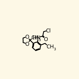 CCc1cccc(C2(C)OCCO2)c1NC(=O)CCl